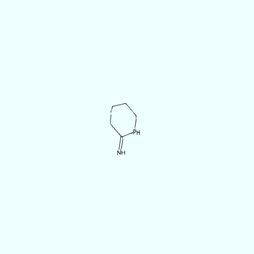 N=C1CCCCP1